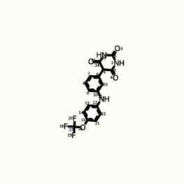 O=C1NC(=O)C(c2cccc(Nc3ccc(OC(F)(F)F)cc3)c2)C(=O)N1